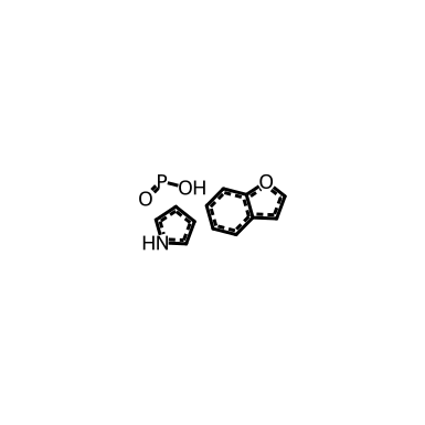 O=PO.c1cc[nH]c1.c1ccc2occc2c1